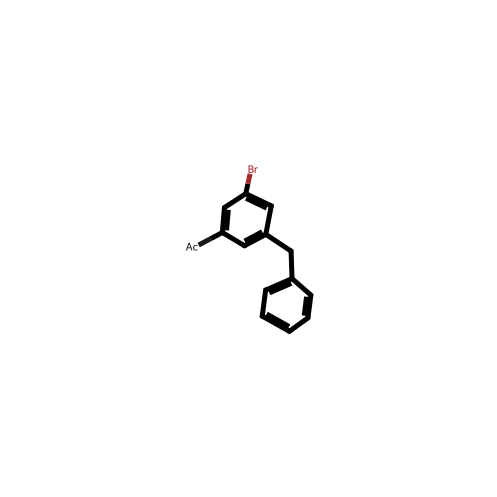 CC(=O)c1cc(Br)cc(Cc2ccccc2)c1